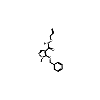 C=CCONC(=O)c1cnn(C)c1SCc1ccccc1